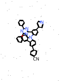 N#Cc1ccc(-c2ccc3c(c2)c2ccccc2n3-c2ccc(-c3ccncc3)cc2-c2nc(-c3ccccc3)nc(-c3ccccc3)n2)cc1